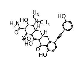 CN(C)[C@@H]1C(O)C(C(N)=O)C(=O)[C@@]2(O)C(O)=C3C(=O)c4c(O)ccc(C#Cc5cccc(O)c5)c4C[C@H]3C[C@@H]12